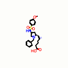 COc1ccc(S(=O)(=O)N[C@@H]2C[C@@H](/C=C\CCCC(=O)O)N(Cc3ccccc3)C2)cc1